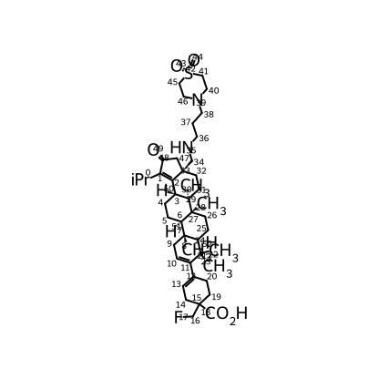 CC(C)C1=C2[C@H]3CC[C@@H]4[C@@]5(C)CC=C(C6=CCC(CF)(C(=O)O)CC6)C(C)(C)[C@@H]5CC[C@@]4(C)[C@]3(C)CC[C@@]2(CNCCCN2CCS(=O)(=O)CC2)CC1=O